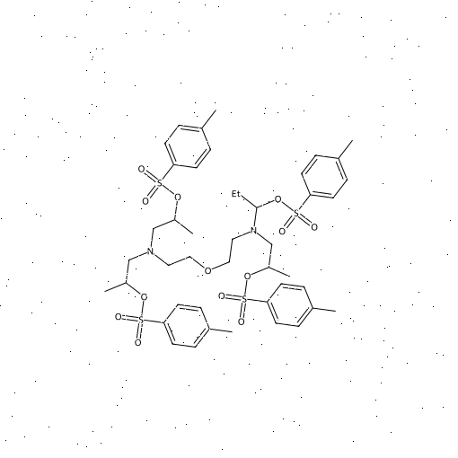 CCC(OS(=O)(=O)c1ccc(C)cc1)N(CCOCCN(CC(C)OS(=O)(=O)c1ccc(C)cc1)CC(C)OS(=O)(=O)c1ccc(C)cc1)CC(C)OS(=O)(=O)c1ccc(C)cc1